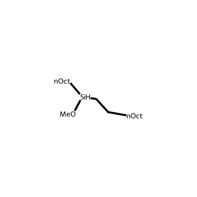 CCCCCCCCCC[SiH](CCCCCCCC)OC